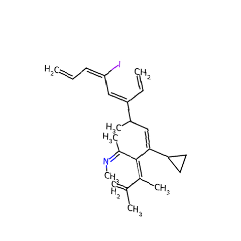 C=C/C=C(I)\C=C(/C=C)C(C)\C=C(C(/C(C)=N\C)=C(\C)C(=C)C)\C1CC1